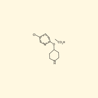 CC(=O)O.Clc1ccc(OC2CCNCC2)nc1